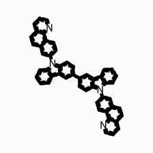 c1cnc2c(c1)ccc1cc(-n3c4ccccc4c4cc(-c5ccc6c(c5)c5ccccc5n6-c5ccc6c(ccc7cccnc76)c5)ccc43)ccc12